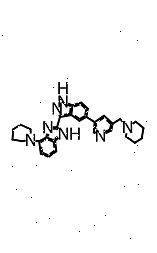 c1cc(N2CCCCC2)c2nc(-c3n[nH]c4ccc(-c5cncc(CN6CCCCC6)c5)cc34)[nH]c2c1